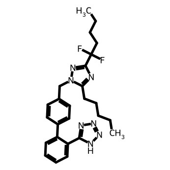 CCCCCc1nc(C(F)(F)CCCC)nn1Cc1ccc(-c2ccccc2-c2nnn[nH]2)cc1